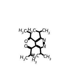 CCC(=O)c1c(C(C)C)nnc(C(C)C)c1C(=O)C(C)C